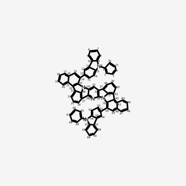 c1ccc(-n2c3ccccc3c3cc(-c4cc5ccccc5c5c6cccc7c8nc9c(cc8n(c45)c76)c4cccc5c6c7ccccc7cc(-c7ccc8c(c7)c7ccccc7n8-c7ccccc7)c6n9c45)ccc32)cc1